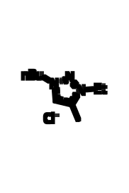 CCCC[n+]1cc(C)n(CC)n1.[Cl-]